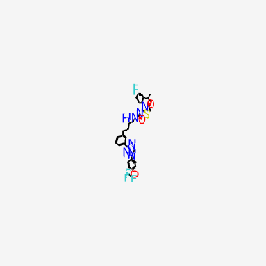 CC(C)c1cc(F)ccc1N1C(=O)CSC1=NC(=O)NCCCCc1cccc(-c2ncn(-c3ccc(OC(F)(F)F)cc3)n2)c1